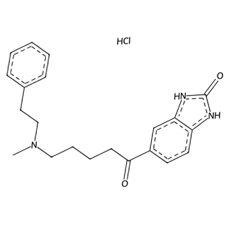 CN(CCCCC(=O)c1ccc2[nH]c(=O)[nH]c2c1)CCc1ccccc1.Cl